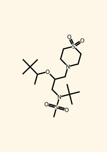 CC(OC(CN1CCS(=O)(=O)CC1)CN(C(C)(C)C)S(C)(=O)=O)C(C)(C)C